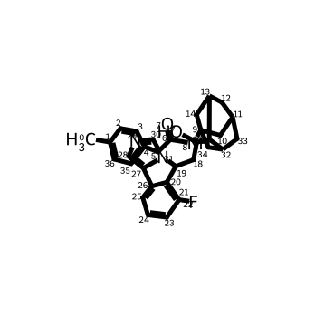 Cc1ccc(CC(=O)NC23CC4CC(C2)C(C(O)CC2c5c(F)cccc5-c5cncn52)C(C4)C3)cc1